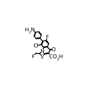 Nc1ccc(-c2c(F)cc3c(=O)c(C(=O)O)c4n(c3c2Cl)C(CF)S4)cc1